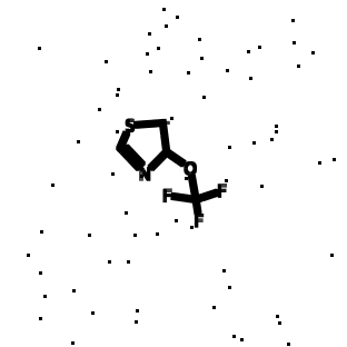 FC(F)(F)OC1[CH]SC=N1